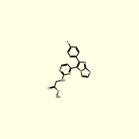 CC(C)(C)OC(=O)CNc1nccc(-c2c(-c3ccc(F)cc3)nc3sccn23)n1